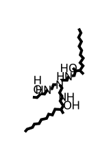 CCCCCCCCCCC(C)C(O)CNCCN(CCNCC(O)CC)CCNCC(O)C(C)CCCCCCCCCC